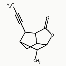 CC#CC1C2CC3C(OC(=O)C13)C2C